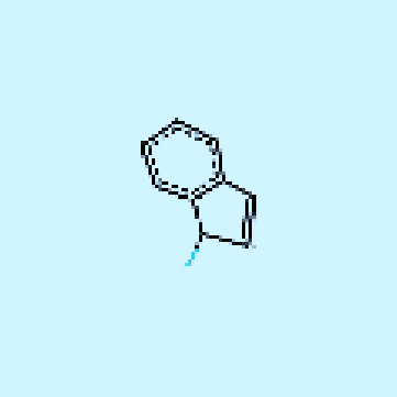 FC1[C]=Cc2ccccc21